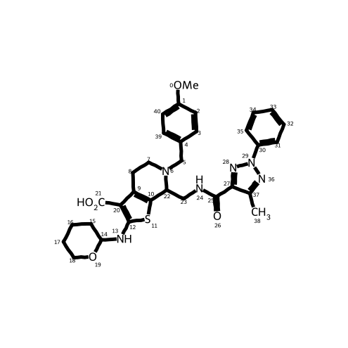 COc1ccc(CN2CCc3c(sc(NC4CCCCO4)c3C(=O)O)C2CNC(=O)c2nn(-c3ccccc3)nc2C)cc1